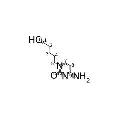 C#CCCCCn1ccc(N)nc1=O